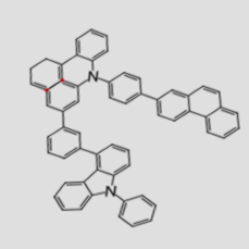 C1=CCCC(c2ccccc2N(c2ccc(-c3ccc4c(ccc5ccccc54)c3)cc2)c2cccc(-c3cccc(-c4cccc5c4c4ccccc4n5-c4ccccc4)c3)c2)=C1